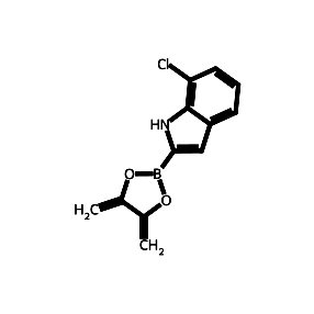 C=C1OB(c2cc3cccc(Cl)c3[nH]2)OC1=C